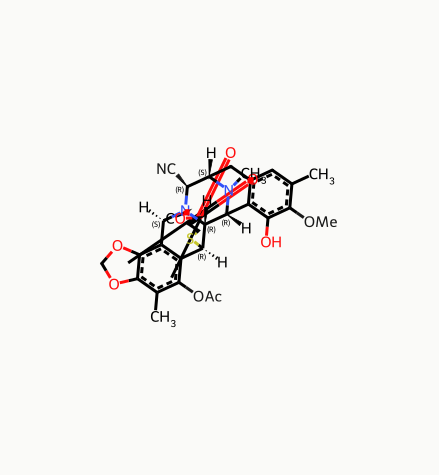 COc1c(C)cc2c(c1O)[C@@H]1[C@@H]3[C@@H]4SCC(=O)C(=O)OCC[C@@H](c5c6c(c(C)c(OC(C)=O)c54)OCO6)N3[C@@H](C#N)[C@H](C2)N1C